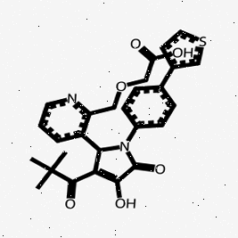 CC(C)(C)C(=O)C1=C(O)C(=O)N(c2ccc(-c3ccsc3)cc2)C1c1cccnc1COCC(=O)O